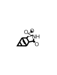 O=C1NS(=O)(=O)C2C3C=CC(C4CC34)C12